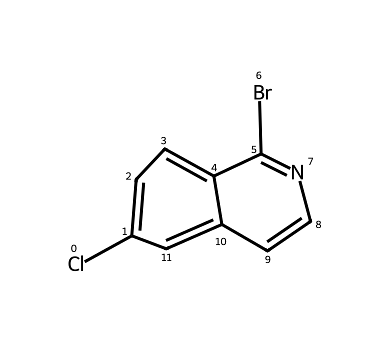 Clc1ccc2c(Br)nccc2c1